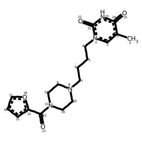 Cc1cn(CCCCN2CCN(C(=O)c3ccco3)CC2)c(=O)[nH]c1=O